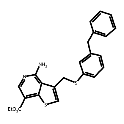 CCOC(=O)c1cnc(N)c2c(CSc3cccc(Cc4ccccc4)c3)csc12